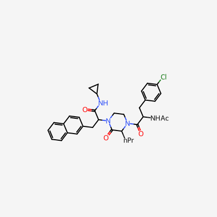 CCCC1C(=O)N(C(Cc2ccc3ccccc3c2)C(=O)NC2CC2)CCN1C(=O)C(Cc1ccc(Cl)cc1)NC(C)=O